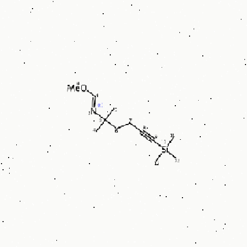 CO/C=N/C(C)(C)CCC#C[Si](C)(C)C